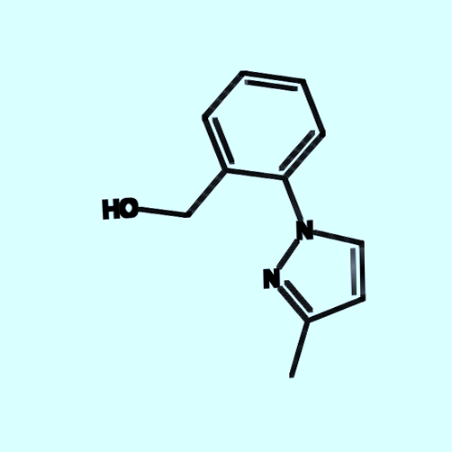 Cc1ccn(-c2ccccc2CO)n1